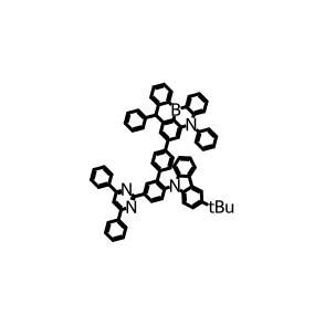 CC(C)(C)c1ccc2c(c1)c1ccccc1n2-c1ccc(-c2nc(-c3ccccc3)cc(-c3ccccc3)n2)cc1-c1ccc(-c2cc3c4c(c2)N(c2ccccc2)c2ccccc2B4c2ccccc2C3c2ccccc2)cc1